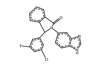 O=C1c2ccccc2C(c2cc(F)cc(Cl)c2)N1c1ccc2[nH]cnc2c1